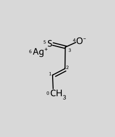 CC=CC([O-])=S.[Ag+]